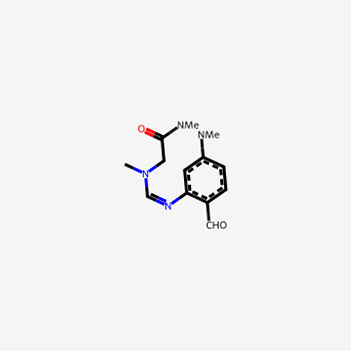 CNC(=O)CN(C)/C=N\c1cc(NC)ccc1C=O